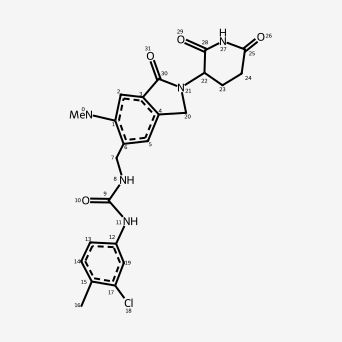 CNc1cc2c(cc1CNC(=O)Nc1ccc(C)c(Cl)c1)CN(C1CCC(=O)NC1=O)C2=O